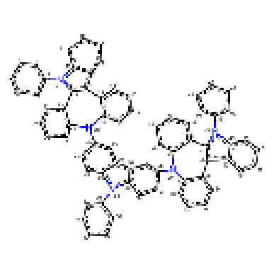 c1ccc(-n2c3c(c4ccccc42)-c2ccccc2N(c2ccc4c(c2)c2cc(N5c6ccccc6-c6c(n(-c7ccccc7)c7ccccc67)-c6ccccc65)ccc2n4-c2ccccc2)c2ccccc2-3)cc1